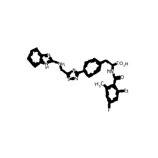 CCc1cc(F)cc(C)c1C(=O)NC(Cc1ccc(-c2nsc(CNc3nc4ccccc4[nH]3)n2)cc1)C(=O)O